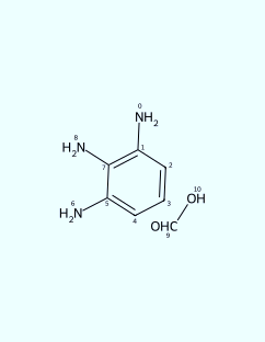 Nc1cccc(N)c1N.O=CO